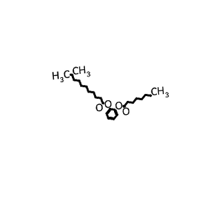 CCCCCCCC(=O)Oc1ccccc1OC(=O)CCCCCCCCC(C)C